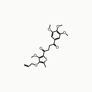 C=CCOc1c(C)sc(C(=O)CCC(=O)c2cc(OC)c(OC)c(OC)c2)c1OC